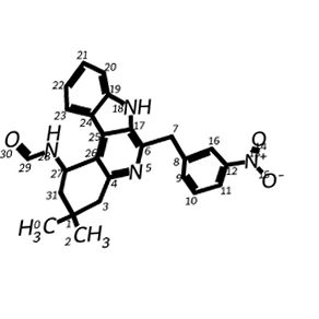 CC1(C)Cc2nc(Cc3cccc([N+](=O)[O-])c3)c3[nH]c4ccccc4c3c2C(NC=O)C1